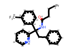 CC(C)CCC(=O)NC(Cc1ccccc1)(c1cccc(C(F)(F)F)c1)c1ccccn1